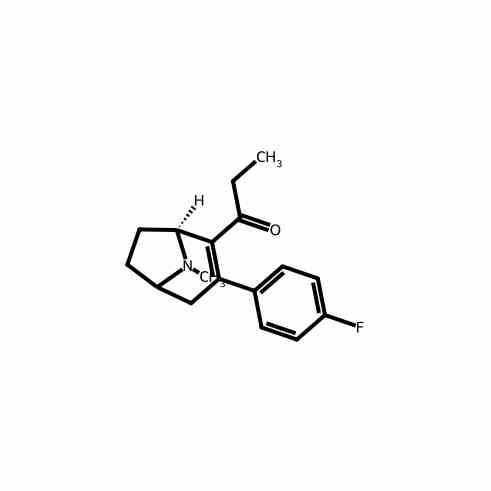 CCC(=O)C1=C(c2ccc(F)cc2)CC2CC[C@@H]1N2C